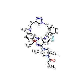 C=CC(=O)N1C[C@H](C)N(C2=NC3OC(C)c4cccc5c4N3c3nc(c(F)cc32)-c2c(F)cccc2Cn2cc(nn2)CCN5C)C[C@H]1C